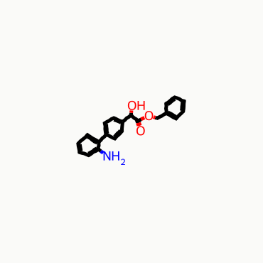 Nc1ccccc1-c1ccc(C(O)C(=O)OCc2ccccc2)cc1